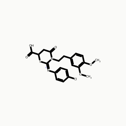 COc1ccc(CCN2C(=O)CC(C(=O)O)S/C2=N/c2ccc(Cl)cc2)cc1OC